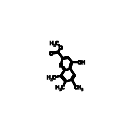 COC(=O)c1cc(O)c2cc(C)c(C)c(C)c2n1